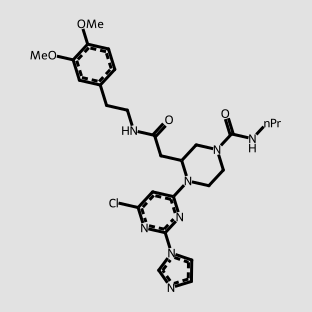 CCCNC(=O)N1CCN(c2cc(Cl)nc(-n3ccnc3)n2)C(CC(=O)NCCc2ccc(OC)c(OC)c2)C1